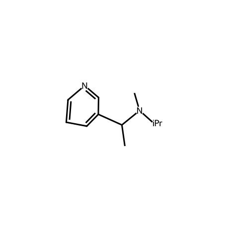 CC(C)N(C)C(C)c1cccnc1